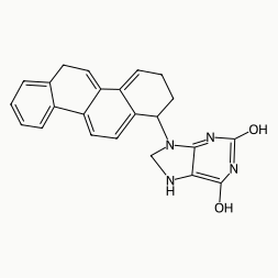 Oc1nc(O)c2c(n1)N(C1CCC=c3c1ccc1c3=CCc3ccccc3-1)CN2